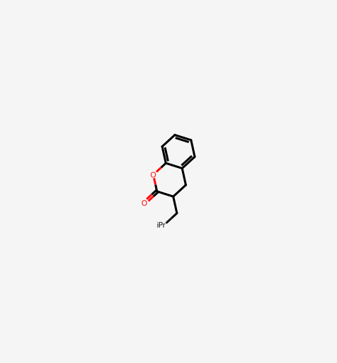 CC(C)CC1Cc2ccccc2OC1=O